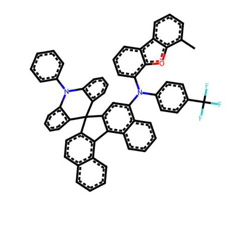 Cc1cccc2c1oc1c(N(c3ccc(C(F)(F)F)cc3)c3cc4c(c5ccccc35)-c3c(ccc5ccccc35)C43c4ccccc4N(c4ccccc4)c4ccccc43)cccc12